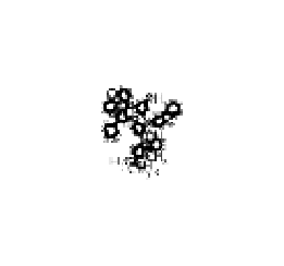 Cc1cc2c3c(c1)N(c1cccc4oc5ccccc5c14)c1ccc(-c4ccccc4)cc1B3c1ccc(N3c4ccc(C(C)(C)C)cc4C4(C)CCCCC34C)cc1N2c1ccc2sc3ccccc3c2c1